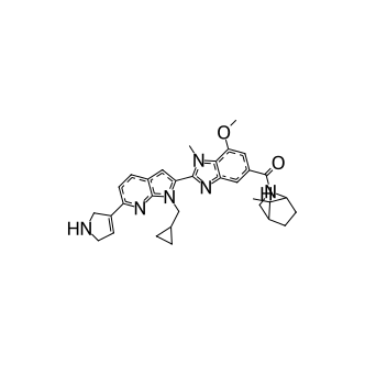 COc1cc(C(=O)N2CC3CCC2[C@@H]3C)cc2nc(-c3cc4ccc(C5=CCNC5)nc4n3CC3CC3)n(C)c12